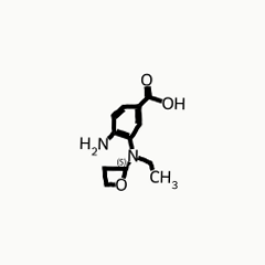 CCN(c1cc(C(=O)O)ccc1N)[C@@H]1CCO1